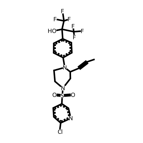 CC#CC1CN(S(=O)(=O)c2ccc(Cl)nc2)CCN1c1ccc(C(O)(C(F)(F)F)C(F)(F)F)cc1